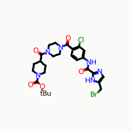 CC(C)(C)OC(=O)N1CCC(C(=O)N2CCN(C(=O)c3ccc(NC(=O)c4ncc(CBr)[nH]4)cc3Cl)CC2)CC1